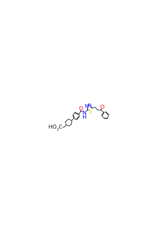 O=C(O)CC1CCC(c2ccc(C(=O)Nc3nnc(CCC(=O)c4ccccc4)s3)cc2)CC1